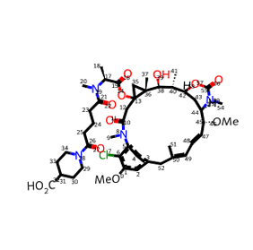 COc1cc2cc(c1Cl)N(C)C(=O)CC1(OC(=O)[C@H](C)N(C)C(=O)CCCC(=O)N3CCC(C(=O)O)CC3)C[C@]1(C)[C@@H](O)[C@H](C)[C@@H]1C[C@H]([C@H](OC)/C=C/C=C(\C)C2)N(C)C(=O)O1